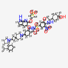 CC(C)c1ccccc1[C@H]1CCCN1C1CC2(CCN(c3ccc(C(=O)NS(=O)(=O)c4cc5c(c([N+](=O)[O-])c4)N[C@@H](C4CCC(C)(O)CC4)CO5)c(Oc4cc5cc[nH]c5nc4OC4CS(=O)(=O)C4)c3)CC2)C1